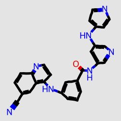 N#Cc1ccc2nccc(Nc3cccc(C(=O)Nc4cncc(Nc5ccncc5)c4)c3)c2c1